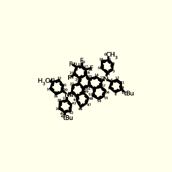 Cc1ccc(N(c2ccc(C(C)(C)C)cc2)c2cc3c4c(F)c(F)c(F)c(F)c4c4cc(N(c5ccc(C)cc5)c5ccc(C(C)(C)C)cc5)c5ccccc5c4c3c3ccccc23)cc1